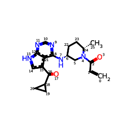 C=CC(=O)N1C[C@H](Nc2ncnc3[nH]cc(C(=O)C4CC4)c23)CC[C@@H]1C